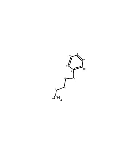 CCCCCc1[c]cccc1